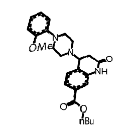 CCCCOC(=O)c1ccc2c(c1)NC(=O)CC2N1CCN(c2ccccc2OC)CC1